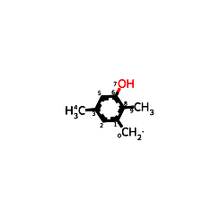 [CH2]c1cc(C)cc(O)c1C